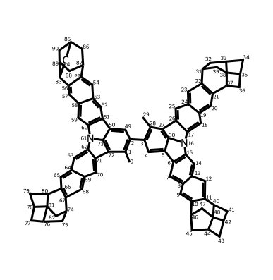 Cc1c(-c2cc3c4cc5cc6c(cc5cc4n4c5cc7cc8c(cc7cc5c(c2C)c34)C2CC3CC4CC8C34C2)C2CC3CC4CC6CC432)cc2c3cc4cc5c(cc4cc3n3c4cc6cc7c(cc6cc4c1c23)C1CC2CC3CC7C23C1)C1CC2CC5CC1C2